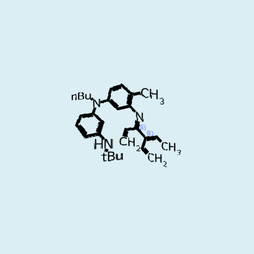 C=CC(=C\C)/C(C=C)=N/c1cc(N(CCCC)c2cccc(NC(C)(C)C)c2)ccc1C